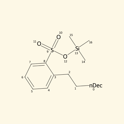 CCCCCCCCCCCCc1ccccc1S(=O)(=O)O[Si](C)(C)C